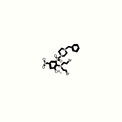 Cc1cc([N+](=O)[O-])cc(S(=O)(=O)N2CCN(Cc3ccccc3)CC2)c1N(CCBr)CCBr